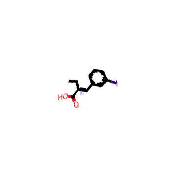 CC/C(=C\c1cccc(I)c1)C(=O)O